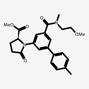 COCCN(C)C(=O)c1cc(-c2ccc(C)cc2)cc(N2C(=O)CC[C@H]2C(=O)OC)c1